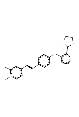 Cc1cc(/C=C/c2ccc(Sc3ccsc3C3OCCO3)cc2)cc[n+]1C